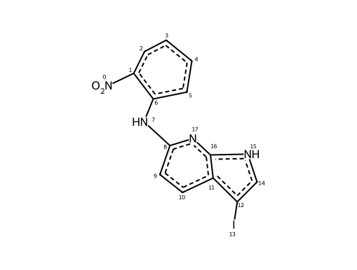 O=[N+]([O-])c1ccccc1Nc1ccc2c(I)c[nH]c2n1